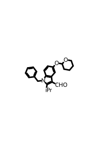 CC(C)c1c(C=O)c2cc(OC3CCCCO3)ccc2n1Cc1ccccc1